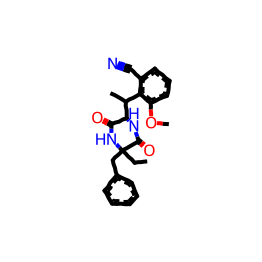 CCC1(Cc2ccccc2)NC(=O)C(C(C)c2c(C#N)cccc2OC)NC1=O